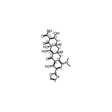 CN(C)c1cc(-c2ncco2)c(O)c2c1C[C@H]1C[C@H]3CC(O)=C(C(N)=O)C(=O)[C@@]3(O)C(O)=C1C2=O